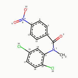 CN(C(=O)c1ccc([N+](=O)[O-])cc1)c1cc(Cl)ccc1Cl